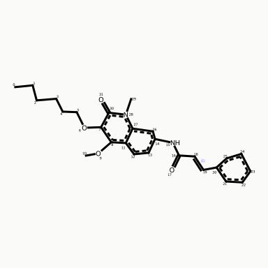 CCCCCCOc1c(OC)c2ccc(NC(=O)/C=C/c3ccccc3)cc2n(C)c1=O